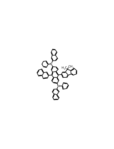 CC1(C)c2ccccc2-c2ccc(-c3c4ccc(N(C5=CCCC=C5)c5ccc6ccccc6c5)cc4c(-c4ccc5ccccc5c4)c4ccc(N(c5ccccc5)c5ccc6ccccc6c5)cc34)cc21